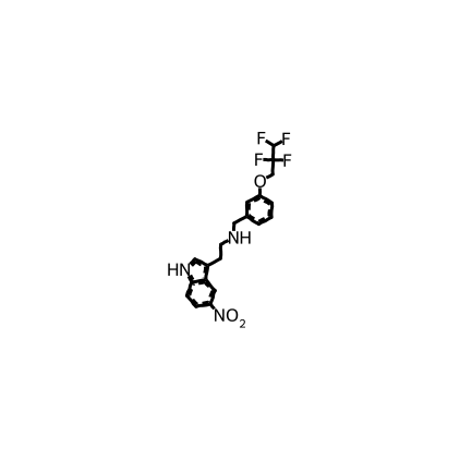 O=[N+]([O-])c1ccc2[nH]cc(CCNCc3cccc(OCC(F)(F)C(F)F)c3)c2c1